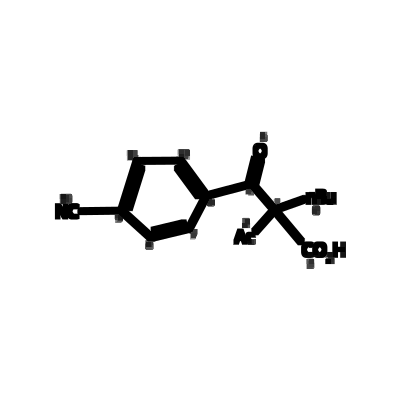 CCCCC(C(C)=O)(C(=O)O)C(=O)c1ccc(C#N)cc1